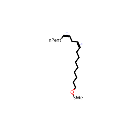 CCCCC/C=C\C/C=C\CCCCCCCCOSC